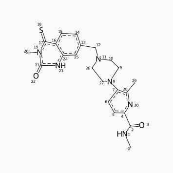 CNC(=O)c1ccc(N2CCN(Cc3ccc4c(=S)n(C)c(=O)[nH]c4c3)CC2)c(C)n1